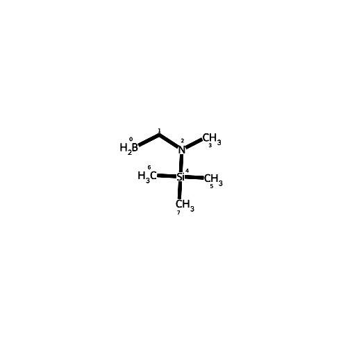 BCN(C)[Si](C)(C)C